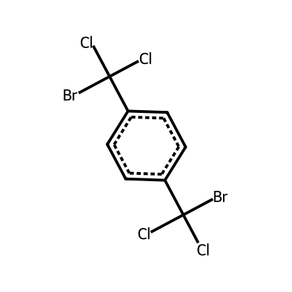 ClC(Cl)(Br)c1ccc(C(Cl)(Cl)Br)cc1